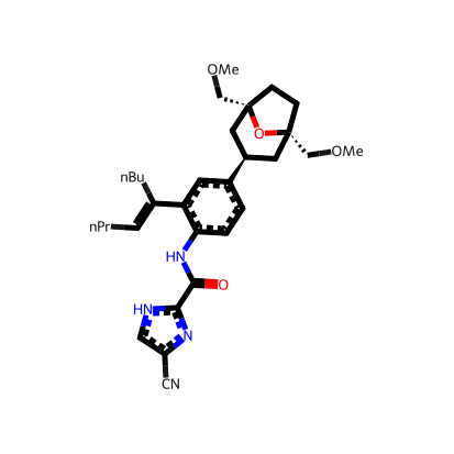 CCC/C=C(\CCCC)c1cc([C@H]2C[C@@]3(COC)CC[C@@](COC)(C2)O3)ccc1NC(=O)c1nc(C#N)c[nH]1